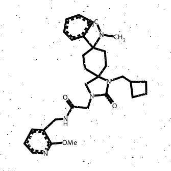 COc1ncccc1CNC(=O)CN1CC2(CCC(c3ccccc3)(N(C)C)CC2)N(CC2CCC2)C1=O